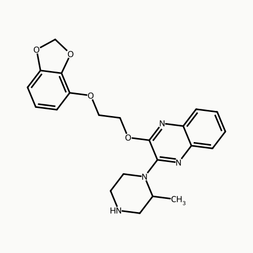 CC1CNCCN1c1nc2ccccc2nc1OCCOc1cccc2c1OCO2